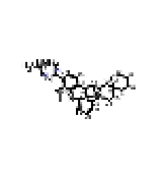 C=C(N)/C=N\C(=C/C)c1ccc(C2CCC2)c(Nc2nccc(N3CCC4(CCCCO4)CC3)n2)c1F